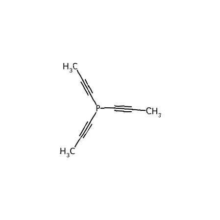 CC#CP(C#CC)C#CC